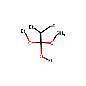 CCOC(O[SiH3])(OCC)C(CC)CC